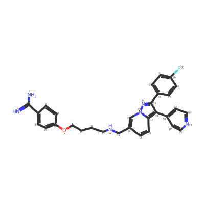 N=C(N)c1ccc(OCCCCNCc2ccc3c(-c4ccncc4)c(-c4ccc(F)cc4)nn3c2)cc1